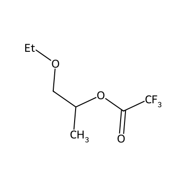 CCOCC(C)OC(=O)C(F)(F)F